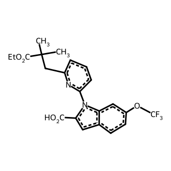 CCOC(=O)C(C)(C)Cc1cccc(-n2c(C(=O)O)cc3ccc(OC(F)(F)F)cc32)n1